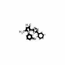 Cc1[c]c(C)n(-c2cccc(Br)c2)c1-c1nnc(C2CCCCC2)o1